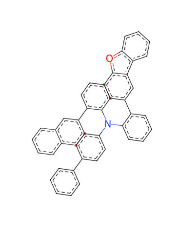 c1ccc(-c2ccc(N(c3ccccc3-c3ccc4ccccc4c3)c3ccccc3-c3ccc4oc5ccccc5c4c3)cc2)cc1